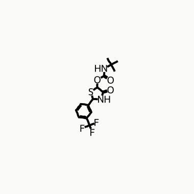 CC(C)(C)NC(=O)OC1SC(c2cccc(C(F)(F)F)c2)NC1=O